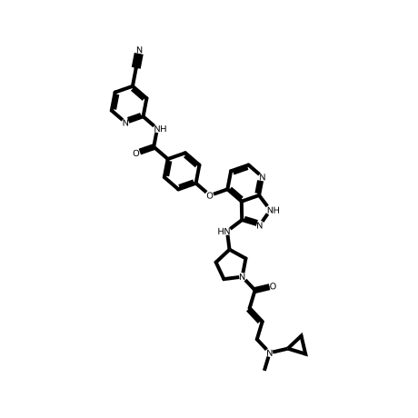 CN(CC=CC(=O)N1CCC(Nc2n[nH]c3nccc(Oc4ccc(C(=O)Nc5cc(C#N)ccn5)cc4)c23)C1)C1CC1